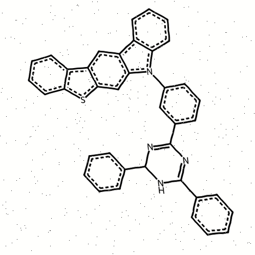 c1ccc(C2=NC(c3cccc(-n4c5ccccc5c5cc6c(cc54)sc4ccccc46)c3)=NC(c3ccccc3)N2)cc1